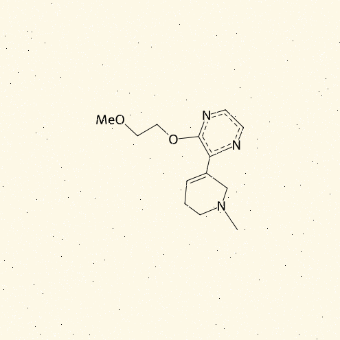 COCCOc1nccnc1C1=CCCN(C)C1